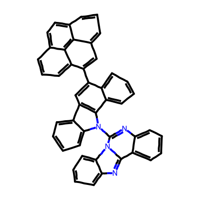 c1cc2ccc3cccc4c(-c5cc6c7ccccc7n(-c7nc8ccccc8c8nc9ccccc9n78)c6c6ccccc56)cc(c1)c2c34